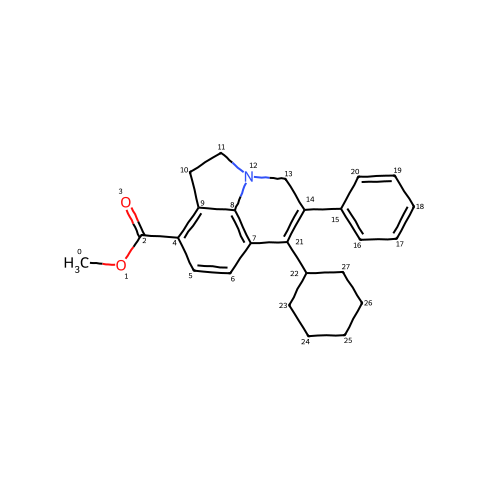 COC(=O)c1ccc2c3c1CCN3CC(c1ccccc1)=C2C1CCCCC1